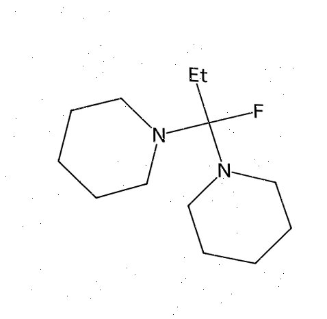 CCC(F)(N1CCCCC1)N1CCCCC1